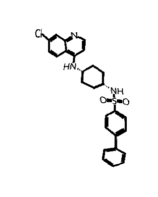 O=S(=O)(N[C@H]1CC[C@@H](Nc2ccnc3cc(Cl)ccc23)CC1)c1ccc(-c2ccccc2)cc1